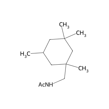 CC(=O)NCC1(C)CC(C)CC(C)(C)C1